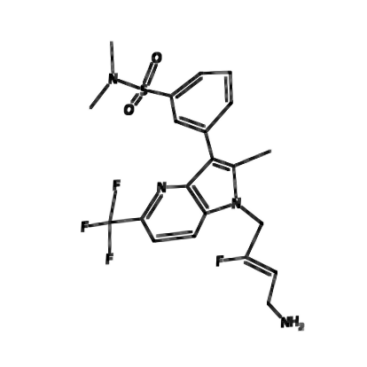 Cc1c(-c2cccc(S(=O)(=O)N(C)C)c2)c2nc(C(F)(F)F)ccc2n1CC(F)=CCN